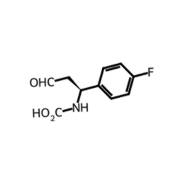 O=CC[C@H](NC(=O)O)c1ccc(F)cc1